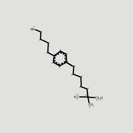 CC(C)(C)CCCCc1ccc(CCCCCC(C)(C)C(=O)O)cc1